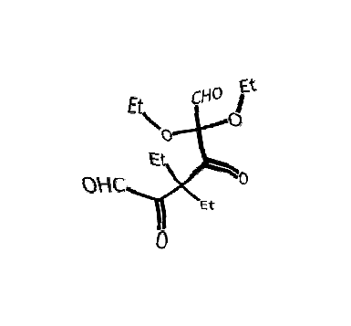 CCOC(C=O)(OCC)C(=O)C(CC)(CC)C(=O)C=O